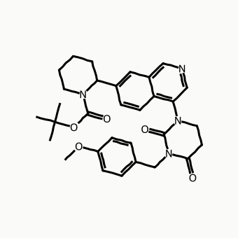 COc1ccc(CN2C(=O)CCN(c3cncc4cc(C5CCCCN5C(=O)OC(C)(C)C)ccc34)C2=O)cc1